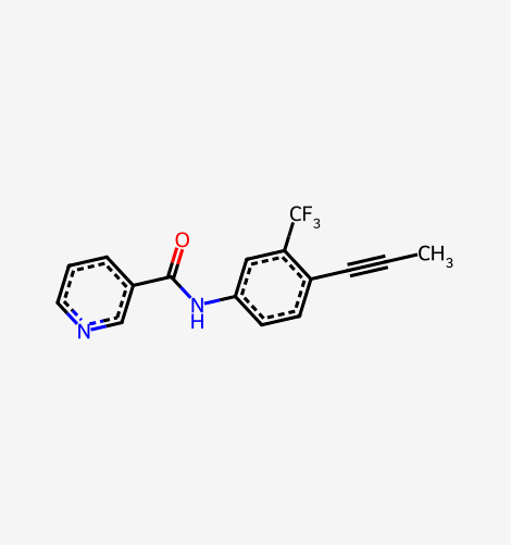 CC#Cc1ccc(NC(=O)c2cccnc2)cc1C(F)(F)F